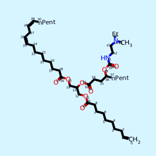 C=CCCCCCCCC(=O)OCC(COC(=O)CCCCCCC/C=C\C/C=C\CCCCC)OC(=O)CCC(CCCCC)OC(=O)NCCN(C)CC